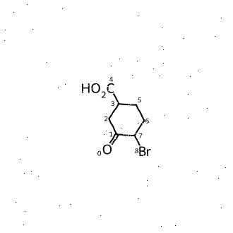 O=C1CC(C(=O)O)CCC1Br